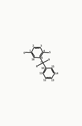 Cc1ccc(C)c(C(C)(C)c2ccccc2)c1